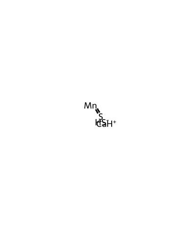 [CaH+].[SH-].[S]=[Mn]